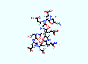 CC(=O)N[C@H](CO)C(=O)N[C@H](CCC(=O)O)C(=O)N[C@H](CC(=O)O)C(=O)N[C@H](CCC(N)=O)C(=O)N[C@H](C)C(=O)N[C@H](CCC(=O)O)C(=O)N[C@H](CCCC(=O)O)C(=O)N[C@H](CCC(=O)O)C(=O)N[C@H](C)C(N)=O